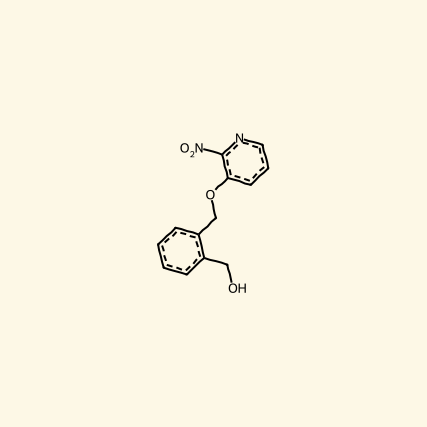 O=[N+]([O-])c1ncccc1OCc1ccccc1CO